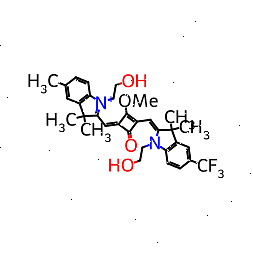 COC1=C(/C=C2\N(CCO)c3ccc(C(F)(F)F)cc3C2(C)C)C(=O)/C1=C/C1=[N+](CCO)c2ccc(C)cc2C1(C)C